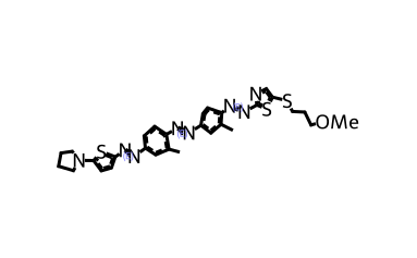 COCCCSc1cnc(/N=N/c2ccc(/N=N/c3ccc(/N=N/c4ccc(N5CCCC5)s4)cc3C)cc2C)s1